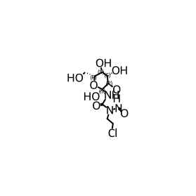 O=NN(CCCl)C(=O)N[C@@]1(O)O[C@H](CO)[C@@H](O)[C@H](O)[C@H]1O